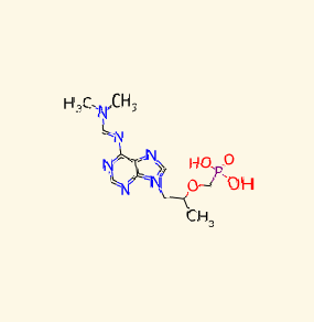 CC(Cn1cnc2c(N=CN(C)C)ncnc21)OCP(=O)(O)O